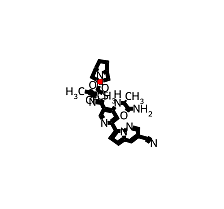 C[C@H](Nc1cc(-c2ccc3cc(C#N)cnn23)ncc1-c1nnc(N2CC3CCC(C2)N3C(=O)OC(C)(C)C)s1)C(N)=O